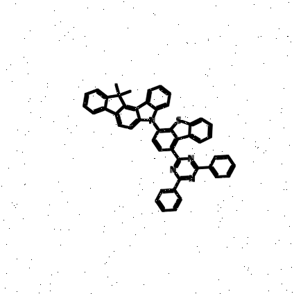 CC1(C)c2ccccc2-c2ccc3c(c21)c1ccccc1n3-c1ccc(-c2nc(-c3ccccc3)nc(-c3ccccc3)n2)c2c1sc1ccccc12